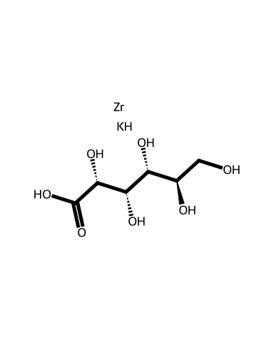 O=C(O)[C@H](O)[C@@H](O)[C@H](O)[C@H](O)CO.[KH].[Zr]